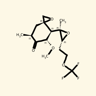 CO[C@@H]1C(=O)[C@@H](C)C[C@]2(CO2)[C@H]1[C@@]1(C)O[C@@H]1CCOC(F)(F)F